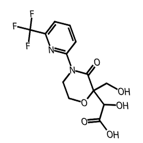 O=C(O)C(O)C1(CO)OCCN(c2cccc(C(F)(F)F)n2)C1=O